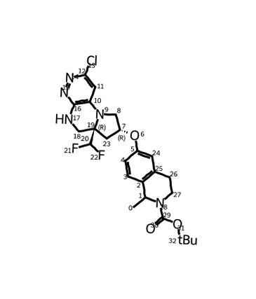 CC1c2ccc(O[C@H]3CN4c5cc(Cl)nnc5NC[C@@]4(C(F)F)C3)cc2CCN1C(=O)OC(C)(C)C